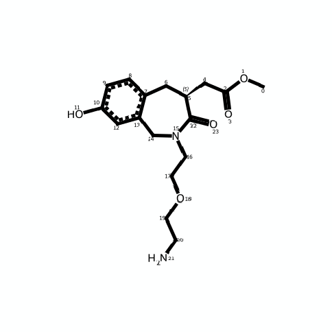 COC(=O)C[C@@H]1Cc2ccc(O)cc2CN(CCOCCN)C1=O